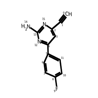 C#Cc1cc(-c2ccc(F)cc2)nc(N)n1